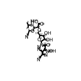 CC(C)NP(OCC#N)C(OCC1OC(n2nnc3c(C#N)nn(O)c3c2=O)C(O)C1O)C(=O)O